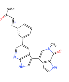 CNC(=O)/C=C/c1cccc(-c2cnc3[nH]cc(-c4cn(C)c(=O)c5[nH]ccc45)c3c2)c1